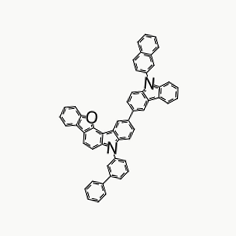 c1ccc(-c2cccc(-n3c4ccc(-c5ccc6c(c5)c5ccccc5n6-c5ccc6ccccc6c5)cc4c4c5oc6ccccc6c5ccc43)c2)cc1